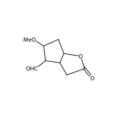 COC1CC2OC(=O)CC2C1C=O